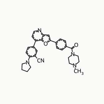 CN1CCN(C(=O)c2ccc(-c3cc4nccc(-c5ccc(N6CCCC6)c(C#N)c5)c4o3)cc2)CC1